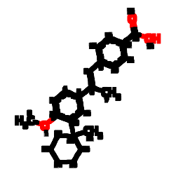 COc1ccc(C(C)=Cc2ccc(C(=O)O)cc2)cc1C1(C)CCCCC1